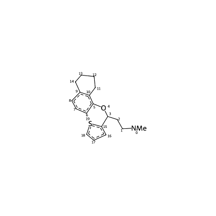 CNCCC(Oc1cccc2c1CCCC2)c1cccs1